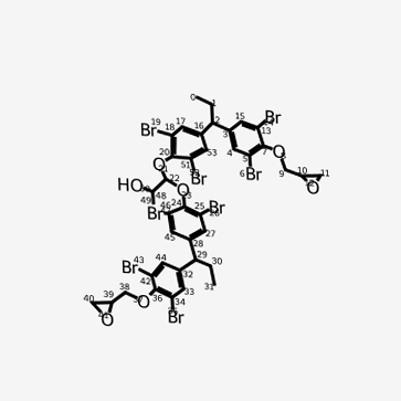 CCC(c1cc(Br)c(OCC2CO2)c(Br)c1)c1cc(Br)c(OC(Oc2c(Br)cc(C(CC)c3cc(Br)c(OCC4CO4)c(Br)c3)cc2Br)C(C)O)c(Br)c1